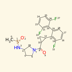 C[S+]([O-])NC1CCN(C(=O)C2CC2c2c(F)cccc2-c2c(F)cccc2F)C1